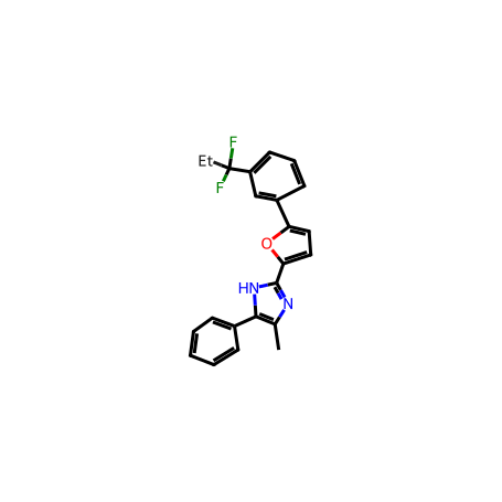 CCC(F)(F)c1cccc(-c2ccc(-c3nc(C)c(-c4ccccc4)[nH]3)o2)c1